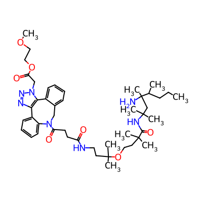 CCCC(C)C(C)(N)CC(C)(C)NC(=O)C(C)(C)CCOC(C)(C)CCNC(=O)CCC(=O)N1Cc2ccccc2-c2c(nnn2CC(=O)OCCOC)-c2ccccc21